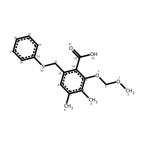 COCOc1c(C)c(C)cc(CSc2ccccc2)c1C(=O)O